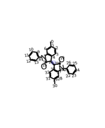 Cc1ccc2c(c1)N(c1ccccc1)C(=O)/C2=C1/C(=O)N(c2ccccc2)c2cc(C)ccc21